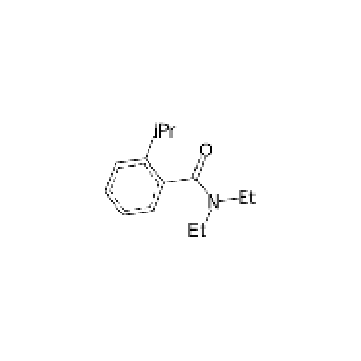 CCN(CC)C(=O)c1ccccc1C(C)C